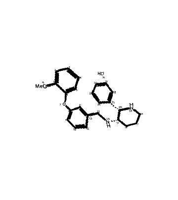 COc1ccccc1Oc1cccc(CN[C@H]2CCCN[C@H]2c2ccccc2)c1.Cl